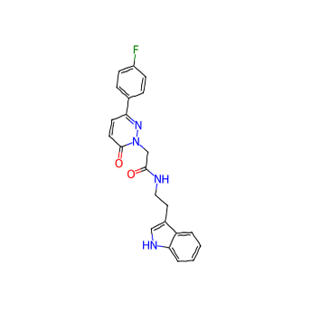 O=C(Cn1nc(-c2ccc(F)cc2)ccc1=O)NCCc1c[nH]c2ccccc12